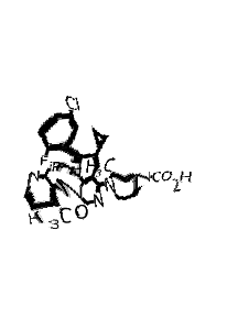 Cc1ccnc(C(C)C)c1-n1c(=O)nc(N2CCN(C(=O)O)CC2C)c2cc(C3CC3)c(-c3cc(Cl)ccc3F)nc21